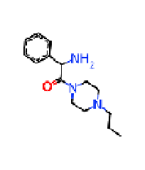 CCCN1CCN(C(=O)C(N)c2ccccc2)CC1